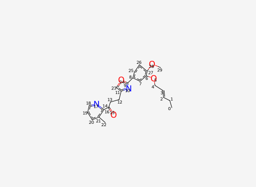 CCC=CCOc1cc(-c2nc(CCC(=O)c3ncccc3C)co2)ccc1OC